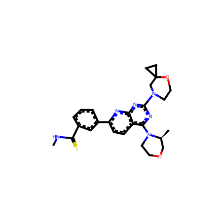 CNC(=S)c1cccc(-c2ccc3c(N4CCOC[C@@H]4C)nc(N4CCOC5(CC5)C4)nc3n2)c1